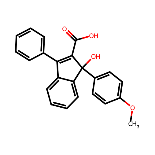 COc1ccc(C2(O)C(C(=O)O)=C(c3ccccc3)c3ccccc32)cc1